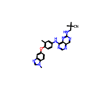 Cc1cc(Nc2ncnc3cnc(NCC(C)(C)C#N)nc23)ccc1Oc1ccc2c(c1)ncn2C